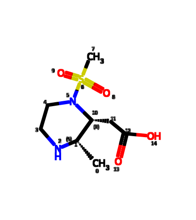 C[C@@H]1NCCN(S(C)(=O)=O)[C@@H]1CC(=O)O